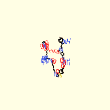 O=C(/C=C/c1ccc(CN(CCO)CCc2c[nH]c3ccccc23)cc1)NOCc1ccc(SC2CCN(CCCCCC(=O)NCc3cnnn3CCCCCC(=O)ON3C(=O)CCC3=O)C2=O)cc1